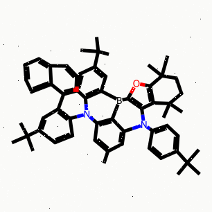 Cc1cc2c3c(c1)N(c1ccc(C(C)(C)C)cc1)c1c(oc4c1C(C)(C)CCC4(C)C)B3c1cc(C(C)(C)C)ccc1N2c1ccc(C(C)(C)C)cc1-c1cccc2ccccc12